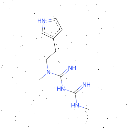 CNC(=N)NC(=N)N(C)CCc1cc[nH]c1